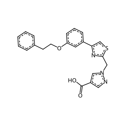 O=C(O)c1cnn(Cc2nc(-c3cccc(OCCc4ccccc4)c3)cs2)c1